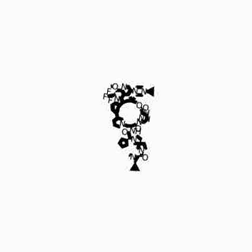 CO[C@@H](C)c1ncc(N2CCN(C3CC3)CC2)cc1-c1c2c3cc(ccc3n1CC(F)(F)F)C1=CCCN(C1)C[C@H](NC(=O)[C@H](C1CCCC1)N1CC[C@]3(CCN(C(=O)[C@H]4[C@@H](C5CC5)N4C)C3)C1)C(=O)N1CCC[C@H](N1)C(=O)OCC(C)(C)C2